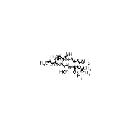 C=CCC(=N)NCCCCN.C=CCC(=N)NCCCCNC(=O)OC(C)(C)C.Cl